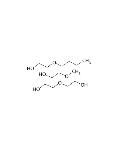 CCCCOCCO.COCCO.OCCOCCO